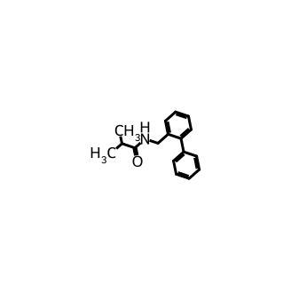 CC(C)C(=O)NCc1ccccc1-c1ccccc1